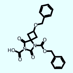 O=C(O)N1C(=O)N(C(=O)OCc2ccccc2)C2(CC(OCc3ccccc3)C2)C1=O